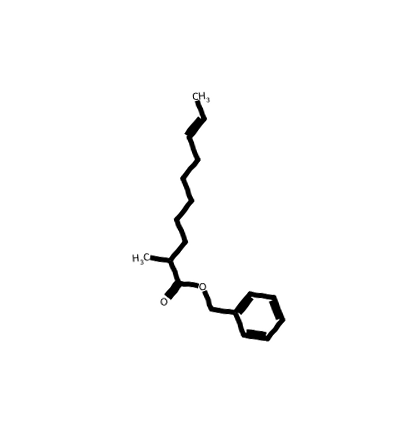 CC=CCCCCCC(C)C(=O)OCc1ccccc1